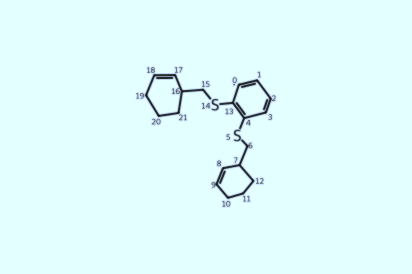 [c]1cccc(SCC2C=CCCC2)c1SCC1C=CCCC1